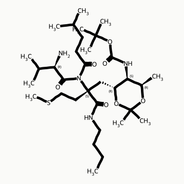 CCCCNC(=O)[C@@](CCSC)(C[C@H]1OC(C)(C)O[C@H](C)[C@@H]1NC(=O)OC(C)(C)C)N(C(=O)CCC(C)C)C(=O)[C@H](N)C(C)C